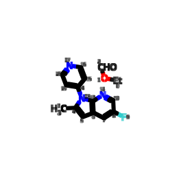 CCOC=O.Cc1cc2cc(F)cnc2n1-c1ccncc1